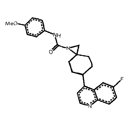 COc1ccc(NC(=O)N2CC23CCC(c2ccnc4ccc(F)cc24)CC3)cc1